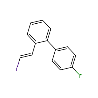 Fc1ccc(-c2ccccc2C=CI)cc1